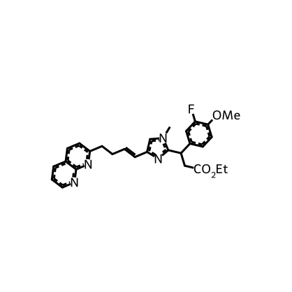 CCOC(=O)CC(c1ccc(OC)c(F)c1)c1nc(/C=C/CCc2ccc3cccnc3n2)cn1C